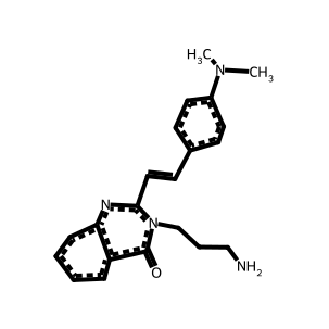 CN(C)c1ccc(/C=C/c2nc3ccccc3c(=O)n2CCCN)cc1